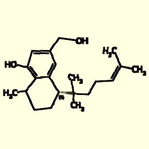 CC(C)=CCCC(C)(C)[C@@H]1CCC(C)c2c(O)cc(CO)cc21